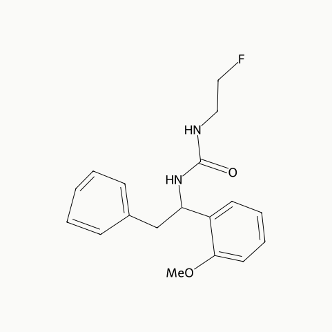 COc1ccccc1C(Cc1ccccc1)NC(=O)NCCF